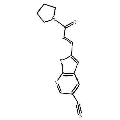 N#Cc1cnc2sc(/C=C/C(=O)N3CCCC3)cc2c1